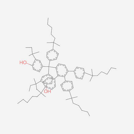 CCCCCC(C)(C)c1ccc(-c2ccc(C(c3ccc(C(C)(C)CCCCC)cc3)(c3ccc(O)c(C(C)(C)CC)c3)c3ccc(O)c(C(C)(C)CC)c3)c(-c3ccc(C(C)(C)CCCCC)cc3)c2-c2ccc(C(C)(C)CCCCC)cc2)cc1